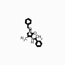 CC1=C(NC(C)c2ccccc2)C(=O)N(OCc2ccccc2)C1